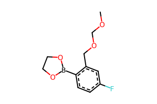 COCOCc1cc(F)ccc1B1OCCO1